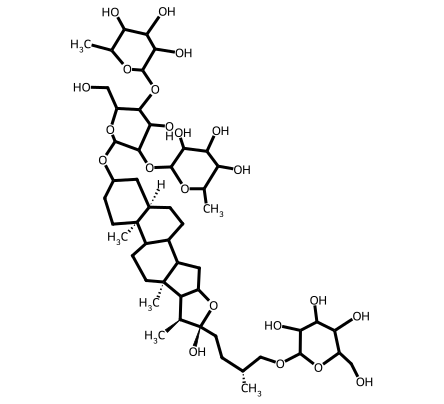 CC1OC(OC2C(CO)OC(OC3CC[C@]4(C)C5CC[C@@]6(C)C(CC7O[C@](O)(CC[C@@H](C)COC8OC(CO)C(O)C(O)C8O)[C@@H](C)C76)C5CC[C@@H]4C3)C(OC3OC(C)C(O)C(O)C3O)C2O)C(O)C(O)C1O